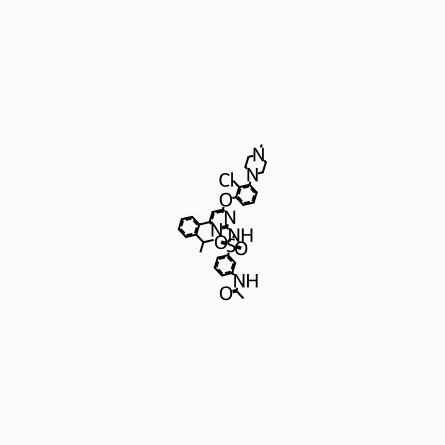 CC(=O)Nc1cccc(S(=O)(=O)Nc2nc(Oc3cccc(N4CCN(C)CC4)c3Cl)cc(-c3ccccc3C(C)C)n2)c1